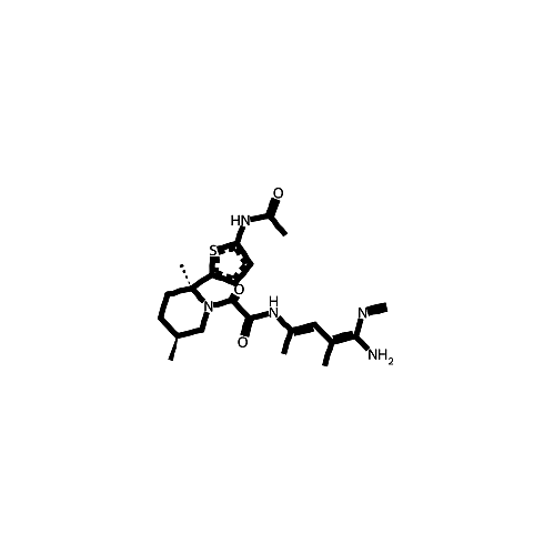 C=N/C(N)=C(C)\C=C(/C)NC(=O)C(=O)N1C[C@@H](C)CC[C@@]1(C)c1ccc(NC(C)=O)s1